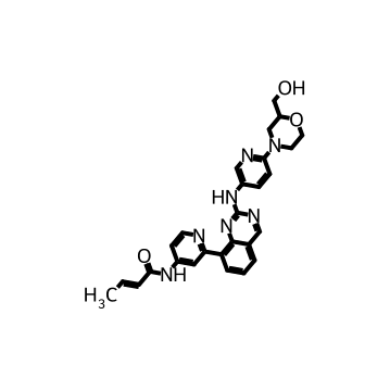 CC=CC(=O)Nc1ccnc(-c2cccc3cnc(Nc4ccc(N5CCOC(CO)C5)nc4)nc23)c1